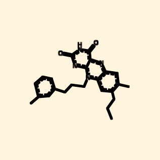 CCCc1cc2c(cc1C)nc1c(=O)[nH]c(=O)nc-1n2CCCc1cccc(C)c1